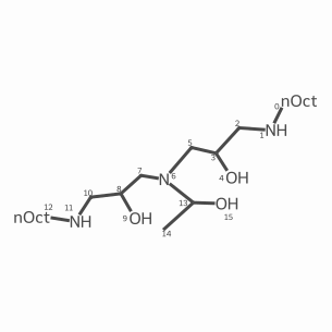 CCCCCCCCNCC(O)CN(CC(O)CNCCCCCCCC)C(C)O